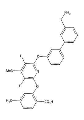 CNc1c(F)c(Oc2cccc(-c3cccc(CN)c3)c2)nc(Oc2cc(C)ccc2C(=O)O)c1F